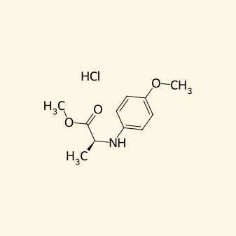 COC(=O)[C@H](C)Nc1ccc(OC)cc1.Cl